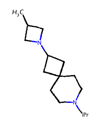 CC1CN(C2CC3(CCN(C(C)C)CC3)C2)C1